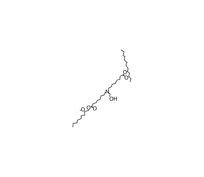 CCCCCCCCC(CCCC)OC(=O)CCCCCCCN(CCO)CCCCCCCC(=O)OCC(CCCCCCC)OC